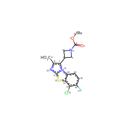 CC(C)(C)OC(=O)N1CC(c2c(C(=O)O)nc3sc4c(Cl)c(F)ccc4n23)C1